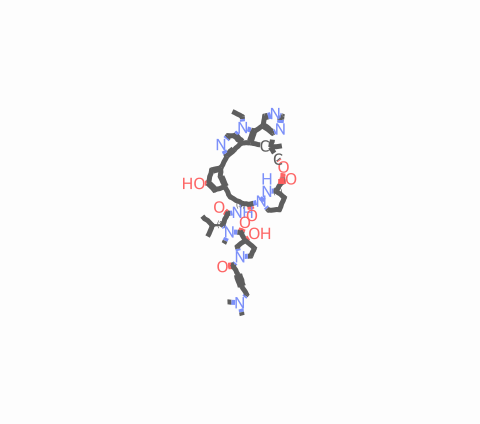 CCn1c(-c2cncnc2)c2c3cc(ncc31)-c1cc(O)cc(c1)C[C@H](NC(=O)[C@H](C(C)C)N(C)C(=O)C1(O)CCN(C(=O)C#CCN(C)C)C1)C(=O)N1CCC[C@](C=O)(COCC(C)(C)C2)N1